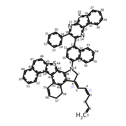 C=CC/C=C\C=C1/CN(c2ccc(-c3nc4c(nc3-c3ccccc3)sc3ccccc34)c3ccccc23)c2c1c1c(c3c2sc2ccc4ccccc4c23)C=CCC1